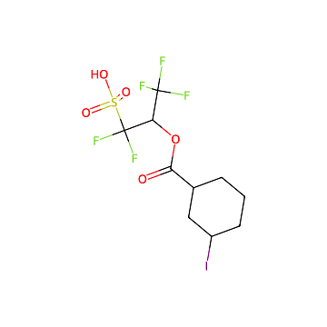 O=C(OC(C(F)(F)F)C(F)(F)S(=O)(=O)O)C1CCCC(I)C1